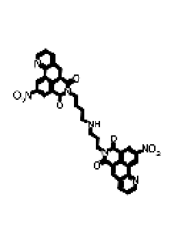 O=C1c2cc([N+](=O)[O-])cc3c2c(cc2cccnc23)C(=O)N1CCCCNCCCN1C(=O)c2cc([N+](=O)[O-])cc3c2c(cc2cccnc23)C1=O